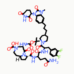 Cn1c(=O)n(C2CCC(=O)NC2=O)c2ccc(CCCC3CCN(C(=O)C(Cc4ccc(F)c(F)c4)NC(=O)C(CCC(N)=O)NC(=O)[C@@H]4CC[C@@H]5CCN(C(=O)O)C[C@H](NC(=O)OC(C)(C)C)C(=O)N54)CC3)cc21